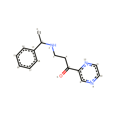 CCC(NCCC(=O)c1cnccn1)c1ccccc1